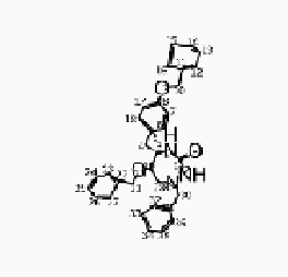 O=C1N[C@H](Cc2ccc(OCc3ccccc3)cc2)[C@H](OCc2ccccc2)CN(Cc2ccccc2)N1